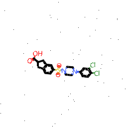 O=C(O)C1Cc2ccc(S(=O)(=O)N3CCN(c4ccc(Cl)c(Cl)c4)CC3)cc2C1